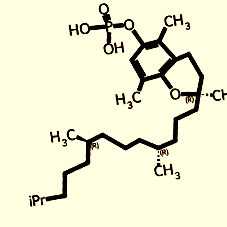 Cc1cc(OP(=O)(O)O)c(C)c2c1O[C@](C)(CCC[C@H](C)CCC[C@H](C)CCCC(C)C)CC2